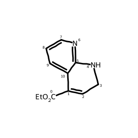 CCOC(=O)C1=CCNc2ncccc21